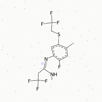 CN/C(CC(F)(F)F)=N\c1cc(SCC(F)(F)F)c(C)cc1F